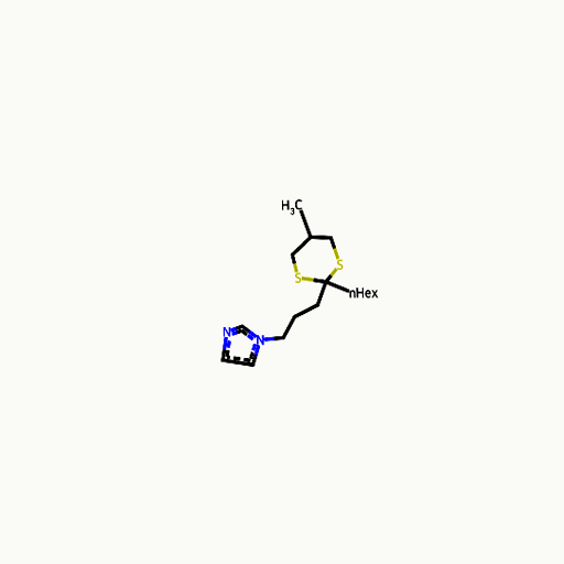 CCCCCCC1(CCCn2ccnc2)SCC(C)CS1